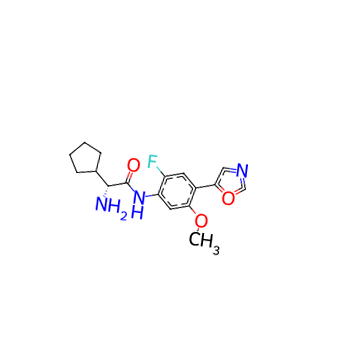 COc1cc(NC(=O)[C@H](N)C2CCCC2)c(F)cc1-c1cnco1